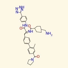 Cc1cc(C(=O)N2CCCC2)ccc1-c1ccc(C[C@H](NC(=O)C2CCC(CN)CC2)C(=O)Nc2ccc(-c3nn[nH]n3)cc2)cc1